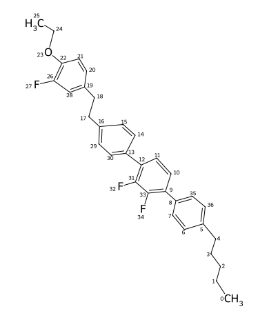 CCCCCc1ccc(-c2ccc(-c3ccc(CCc4ccc(OCC)c(F)c4)cc3)c(F)c2F)cc1